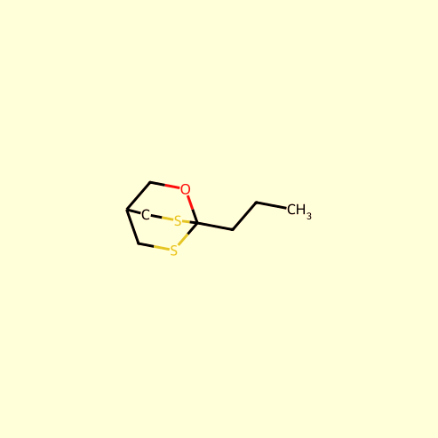 CCCC12OCC(CS1)CS2